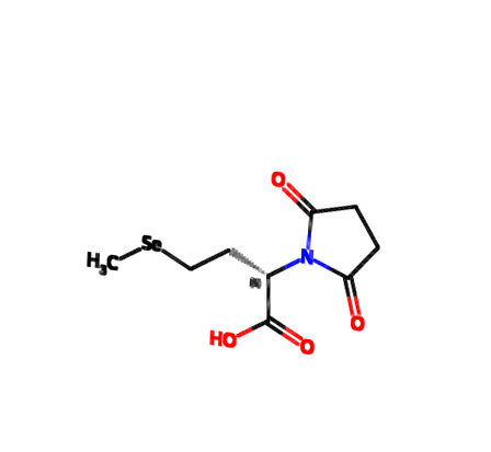 C[Se]CC[C@@H](C(=O)O)N1C(=O)CCC1=O